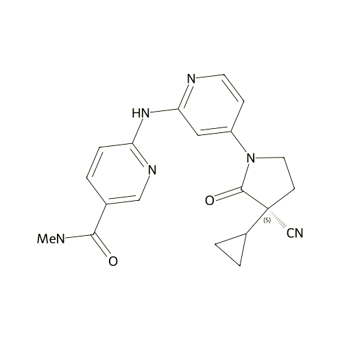 CNC(=O)c1ccc(Nc2cc(N3CC[C@@](C#N)(C4CC4)C3=O)ccn2)nc1